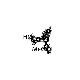 COc1cc(-c2cnc3c(c2)c(-c2ccc(C(=O)N(C)C[C@@H](C)O)cc2)cn3S(=O)(=O)c2ccc(C)cc2)cc2c1CN(C)CC2